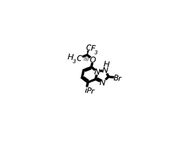 CC(C)C1=CC=C(O[C@@H](C)C(F)(F)F)N2NC(Br)N=C12